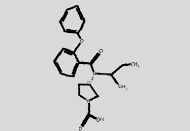 CCC(C)N(C(=O)c1ccccc1Oc1ccccc1)[C@H]1CCN(C(=O)O)C1